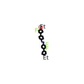 CCOc1ccc(-c2ccc(/C=C/c3ccc(-c4ccc(CC)cc4)c(F)c3F)cc2)cc1F